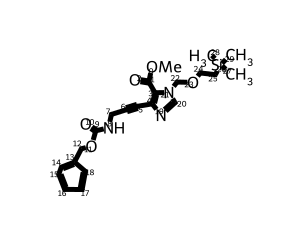 COC(=O)c1c(C#CCNC(=O)OCc2ccccc2)ncn1COCC[Si](C)(C)C